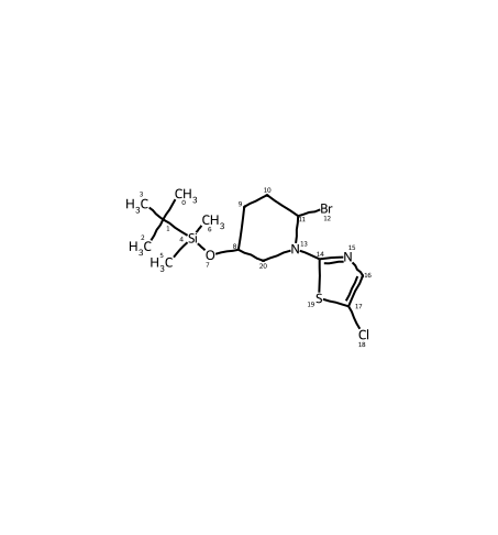 CC(C)(C)[Si](C)(C)OC1CCC(Br)N(c2ncc(Cl)s2)C1